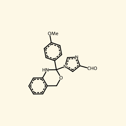 COc1ccc(C2(n3cnc(C=O)c3)Nc3ccccc3CO2)cc1